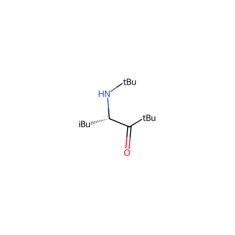 CCC(C)[C@H](NC(C)(C)C)C(=O)C(C)(C)C